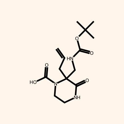 C=CCC1(CNC(=O)OC(C)(C)C)C(=O)NCCN1C(=O)O